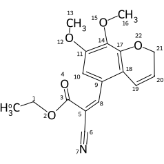 CCOC(=O)C(C#N)=Cc1cc(OC)c(OC)c2c1C=CCO2